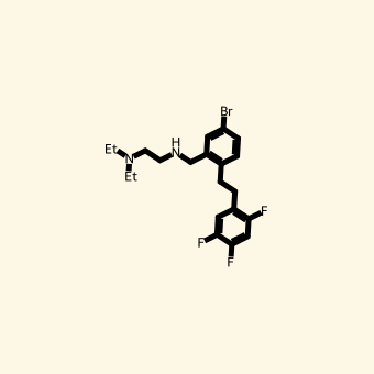 CCN(CC)CCNCc1cc(Br)ccc1CCc1cc(F)c(F)cc1F